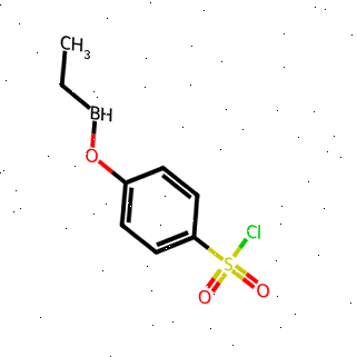 CCBOc1ccc(S(=O)(=O)Cl)cc1